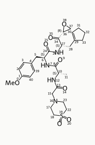 COc1ccc(C[C@H](NC(=O)[C@H](C)NC(=O)CN2CCS(=O)(=O)CC2)C(=O)N[C@@H](CC2=CCCC2)C(=O)[C@H]2CO2)cc1